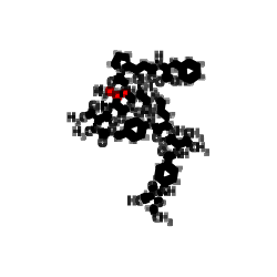 C#CP(=O)(Nc1ccc(C(=O)N[C@@H](C(=O)N[C@H](CCCN)C(=O)Nc2ccc(COC(=O)N(C)[C@H](C(=O)N[C@H](C(=O)N(C)[C@@H](C(C)CC)[C@@H](CC(=O)N3CCC[C@H]3[C@H](O)CC(=O)N[C@@H](Cc3ccccc3)C(=O)O)OC)C(C)C)C(C)C)cc2)C(C)C)cc1)OCC